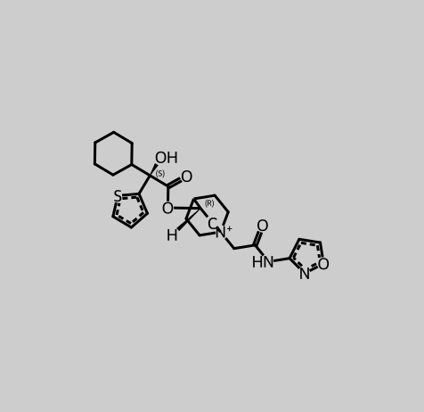 O=C(C[N+]12CCC(CC1)[C@@H](OC(=O)[C@](O)(c1cccs1)C1CCCCC1)C2)Nc1ccon1